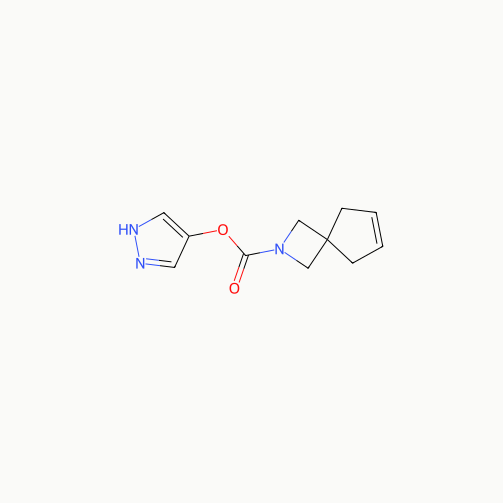 O=C(Oc1cn[nH]c1)N1CC2(CC=CC2)C1